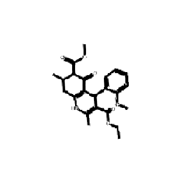 CCOC(=O)C1=C(C)NC2=C(C(=O)C(C(=O)OC)C(C)C2)C1c1ccccc1OC